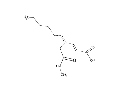 CCCCC/C=C(/C=C/C(=O)O)CC(=O)NC